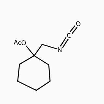 CC(=O)OC1(CN=C=O)CCCCC1